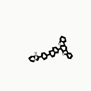 C1=CC2NC(c3ccc(-c4ccc5cc(-c6c7oc8ccccc8c7cc7c6oc6ccccc67)ccc5c4)cc3)=CN2C=C1